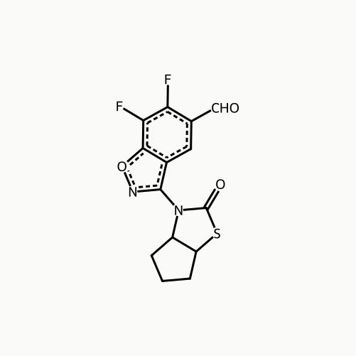 O=Cc1cc2c(N3C(=O)SC4CCCC43)noc2c(F)c1F